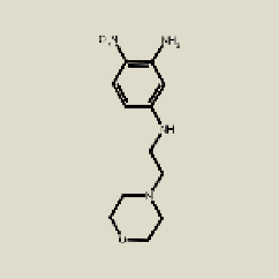 Nc1cc(NCCN2CCOCC2)ccc1[N+](=O)[O-]